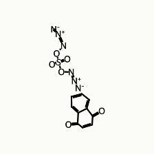 O=C1C=CC(=O)c2ccccc21.[N-]=[N+]=NOS(=O)(=O)ON=[N+]=[N-]